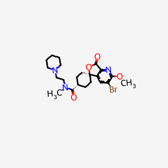 COc1nc2c(cc1Br)[C@]1(CC[C@@H](C(=O)N(C)CCN3CCCCC3)CC1)OC2=O